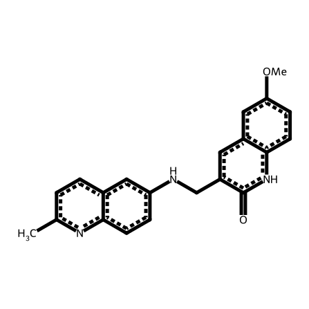 COc1ccc2[nH]c(=O)c(CNc3ccc4nc(C)ccc4c3)cc2c1